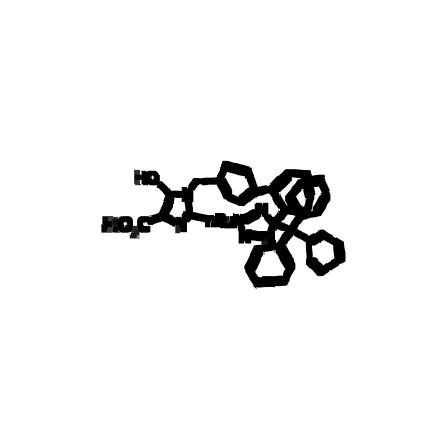 CCCCc1nc(C(=O)OCC)c(O)n1Cc1ccc(-c2ccccc2C2(C(c3ccccc3)(c3ccccc3)c3ccccc3)N=NN=N2)cc1